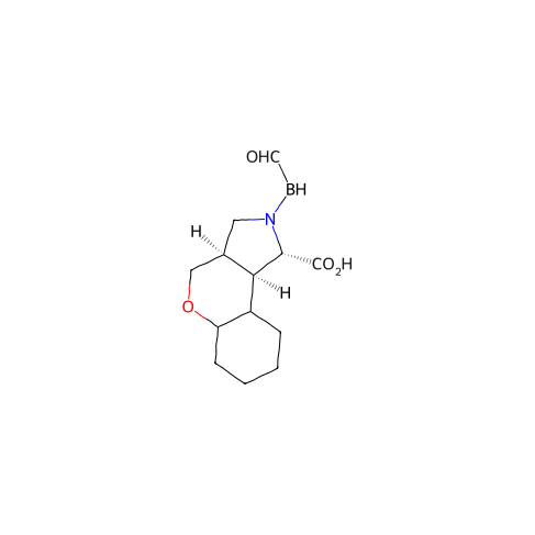 O=CBN1C[C@@H]2COC3CCCCC3[C@@H]2[C@H]1C(=O)O